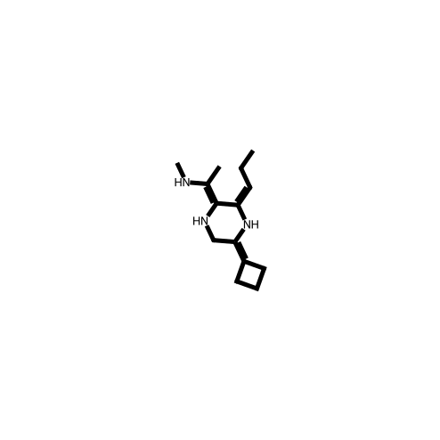 CC/C=C1/NC(=C2CCC2)CN/C1=C(/C)NC